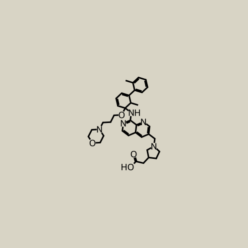 Cc1ccccc1C1=CC=CC(Nc2nccc3cc(CN4CCC(CC(=O)O)C4)cnc23)(OCCCN2CCOCC2)C1C